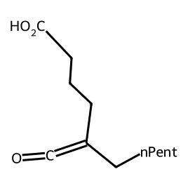 CCCCCCC(=C=O)CCCC(=O)O